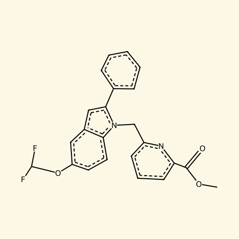 COC(=O)c1cccc(Cn2c(-c3ccccc3)cc3cc(OC(F)F)ccc32)n1